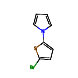 Brc1ccc(-n2cccc2)s1